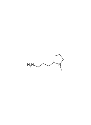 CN1CCCC1CCCN